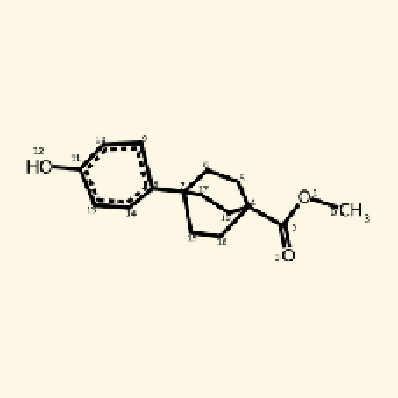 COC(=O)C12CCC(c3ccc(O)cc3)(CC1)CC2